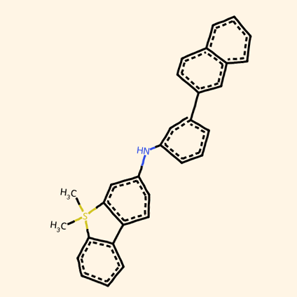 CS1(C)c2ccccc2-c2ccc(Nc3cccc(-c4ccc5ccccc5c4)c3)cc21